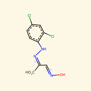 O=C(O)C(/C=N/O)=N/Nc1ccc(Cl)cc1Cl